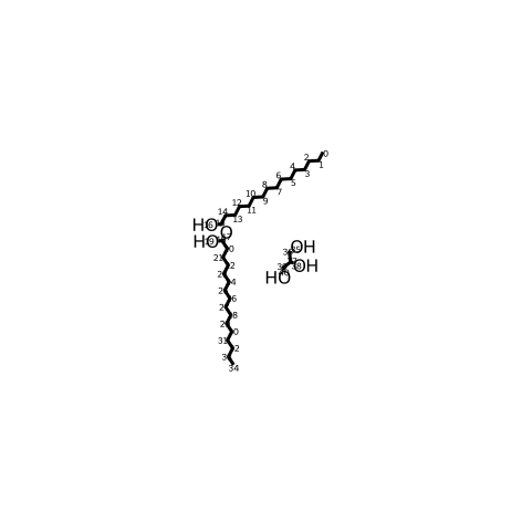 CCCCCCCCCCCCCCCC(O)OC(O)CCCCCCCCCCCCCCC.OCC(O)CO